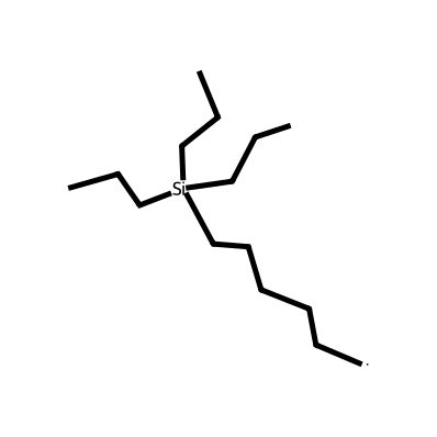 [CH2]CCCCC[Si](CCC)(CCC)CCC